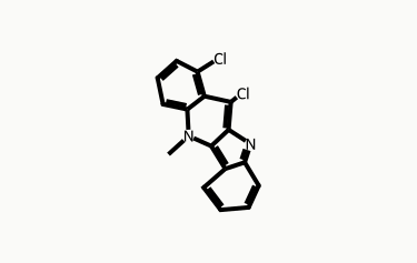 Cn1c2c3ccccc3nc-2c(Cl)c2c(Cl)cccc21